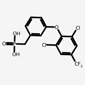 O=P(O)(O)Cc1cccc(Oc2c(Cl)cc(C(F)(F)F)cc2Cl)c1